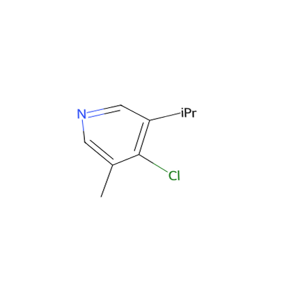 Cc1cncc(C(C)C)c1Cl